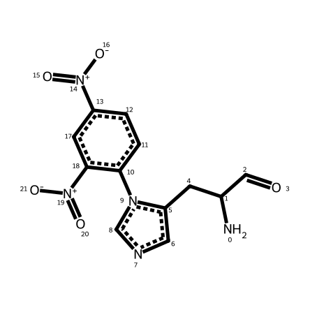 NC(C=O)Cc1cncn1-c1ccc([N+](=O)[O-])cc1[N+](=O)[O-]